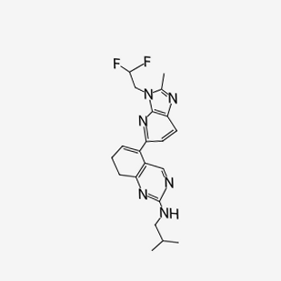 Cc1nc2ccc(C3=CCCc4nc(NCC(C)C)ncc43)nc2n1CC(F)F